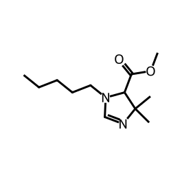 CCCCCN1C=NC(C)(C)C1C(=O)OC